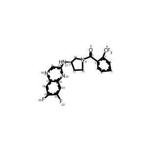 O=C(c1ccccc1C(F)(F)F)N1CC[C@@H](Nc2cnc3cc(F)c(F)cc3n2)C1